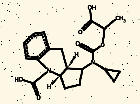 CC(OC(=O)N(C1CC1)C1CC[C@@H]2[C@H]1Cc1ccccc1N2C(=O)O)C(=O)O